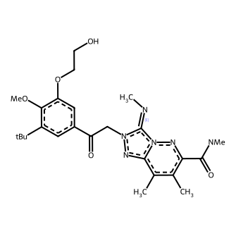 C/N=c1\n(CC(=O)c2cc(OCCO)c(OC)c(C(C)(C)C)c2)nc2c(C)c(C)c(C(=O)NC)nn12